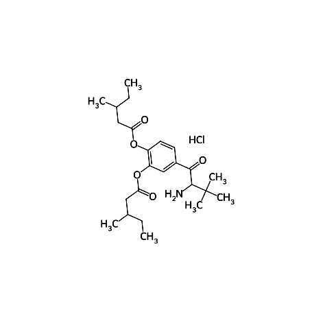 CCC(C)CC(=O)Oc1ccc(C(=O)C(N)C(C)(C)C)cc1OC(=O)CC(C)CC.Cl